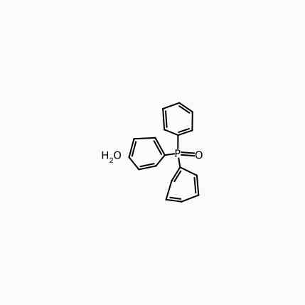 O.O=P(c1ccccc1)(c1ccccc1)c1ccccc1